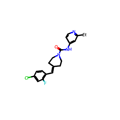 CCc1cc(NC(=O)N2CCC(=Cc3ccc(Cl)cc3F)CC2)ccn1